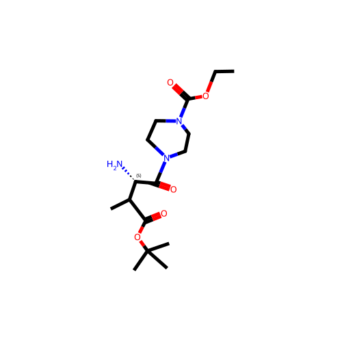 CCOC(=O)N1CCN(C(=O)[C@@H](N)C(C)C(=O)OC(C)(C)C)CC1